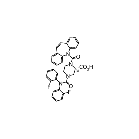 O=C(O)[C@@H]1CN(C(=O)N(c2ccccc2F)c2ccccc2F)CCN1C(=O)N1c2ccccc2C=Cc2ccccc21